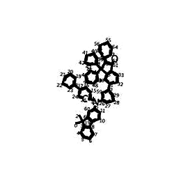 CC1(C)c2ccccc2-c2ccc(N(c3ccc(-c4ccccc4)cc3)c3cccc(-c4ccc5c(c4)C(c4ccccc4)(c4ccccc4)c4c-5oc5ccccc45)c3)cc21